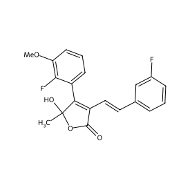 COc1cccc(C2=C(/C=C/c3cccc(F)c3)C(=O)OC2(C)O)c1F